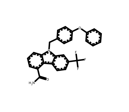 NC(=O)c1cccc2c1c1[c]cc(C(F)(F)F)cc1n2Cc1ccc(Oc2ccccc2)cc1